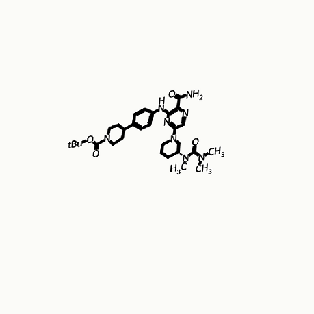 CN(C)C(=O)N(C)[C@@H]1CCCN(c2cnc(C(N)=O)c(Nc3ccc(C4CCN(C(=O)OC(C)(C)C)CC4)cc3)n2)C1